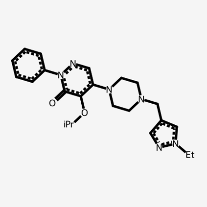 CCn1cc(CN2CCN(c3cnn(-c4ccccc4)c(=O)c3OC(C)C)CC2)cn1